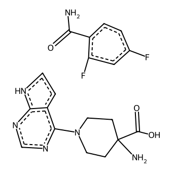 NC(=O)c1ccc(F)cc1F.NC1(C(=O)O)CCN(c2ncnc3[nH]ccc23)CC1